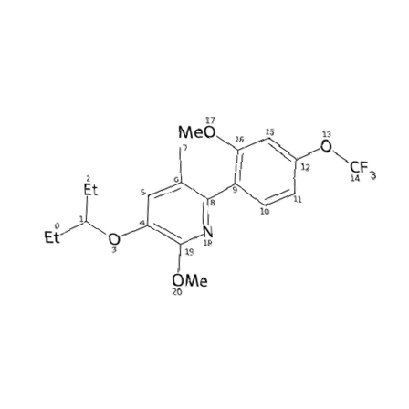 CCC(CC)Oc1cc(C)c(-c2ccc(OC(F)(F)F)cc2OC)nc1OC